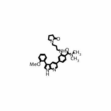 COc1ccccc1-c1c[nH]c2ncc(-c3ccc(C(=O)N(C)C)c(NCCCN4CCCC4=O)c3)cc12